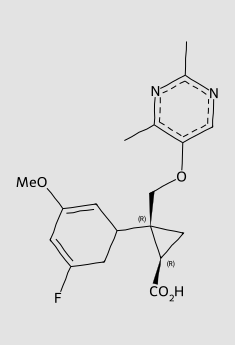 COC1=CC([C@]2(COc3cnc(C)nc3C)C[C@H]2C(=O)O)CC(F)=C1